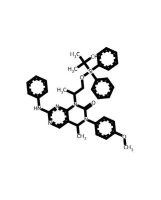 COc1ccc(N2C(=O)N(C(C)CO[Si](c3ccccc3)(c3ccccc3)C(C)(C)C)c3nc(Nc4ccccc4)ncc3C2C)cc1